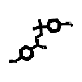 COc1ccc(C(C#N)=NOS(=O)(=O)c2ccc([N+](=O)[O-])cc2)cc1